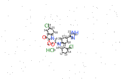 Cl.O=C1C(=O)N(CC(=O)N(Cc2cccc(Cl)c2)c2ccc(-c3c[nH]cn3)cc2)c2ccc(Cl)cc21